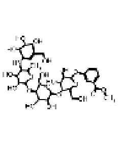 COC(=O)c1cccc(OC2OC(CO)C(OC3OC(CO)C(OC4OC(C)C(NC5C=C(CO)C(O)C(O)C5O)C(O)C4O)C(O)C3O)C(O)C2O)c1